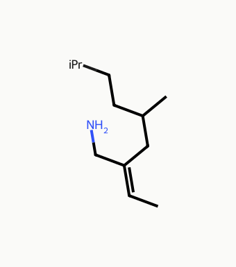 C/C=C(/CN)CC(C)CCC(C)C